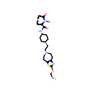 CCn1c(C(=O)N[C@H]2CC[C@H](CCN3CCc4nc(OCC(F)(F)F)sc4CC3)CC2)cccc1=O